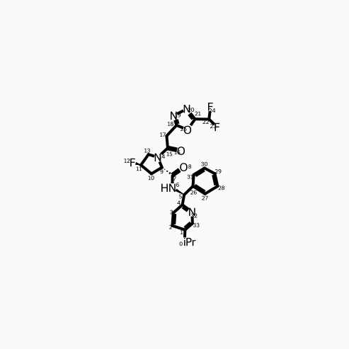 CC(C)c1ccc([C@@H](NC(=O)[C@@H]2C[C@@H](F)CN2C(=O)Cc2nnc(C(F)F)o2)c2ccccc2)nc1